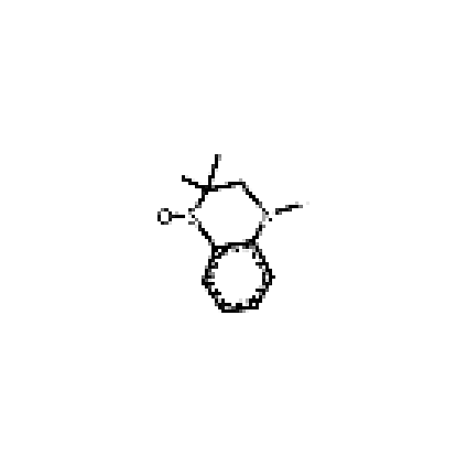 [CH2]N1CC(C)(C)[S+]([O-])c2ccccc21